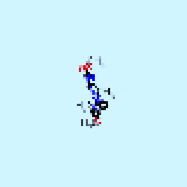 CCOC(=O)c1cnc(C2CCN(CN(C)c3nc(N(C)c4ccc(OC)cc4)c4ccccc4n3)CC2)nc1